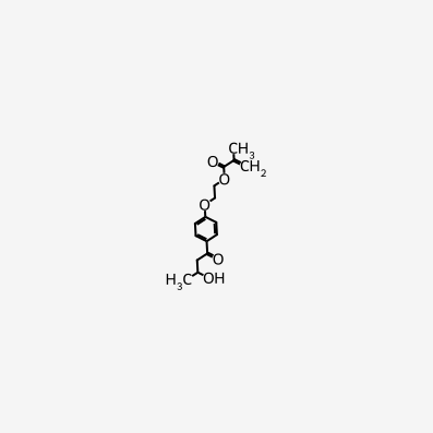 C=C(C)C(=O)OCCOc1ccc(C(=O)CC(C)O)cc1